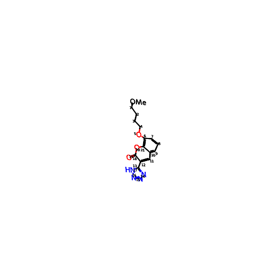 COCCCCOc1cccc2cc(-c3nnn[nH]3)c(=O)oc12